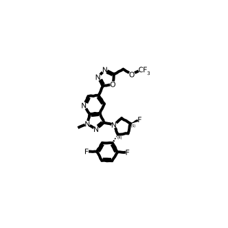 Cn1nc(N2C[C@@H](F)C[C@@H]2c2cc(F)ccc2F)c2cc(-c3nnc(COC(F)(F)F)o3)cnc21